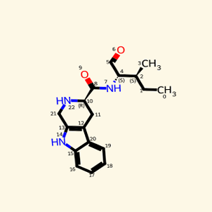 CC[C@H](C)[C@@H]([C]=O)NC(=O)[C@H]1Cc2c([nH]c3ccccc23)CN1